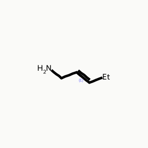 CC/C=C/CN